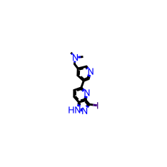 CN(C)Cc1cncc(-c2ccc3[nH]nc(I)c3n2)c1